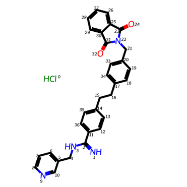 Cl.N=C(NCc1cccnc1)c1ccc(CCc2ccc(CN3C(=O)c4ccccc4C3=O)cc2)cc1